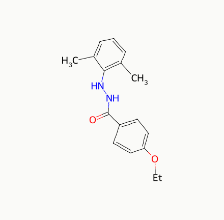 CCOc1ccc(C(=O)NNc2c(C)cccc2C)cc1